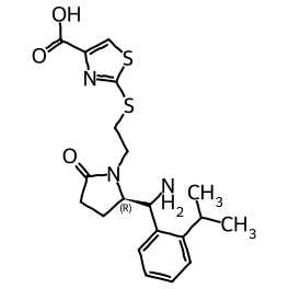 CC(C)c1ccccc1C(N)[C@H]1CCC(=O)N1CCSc1nc(C(=O)O)cs1